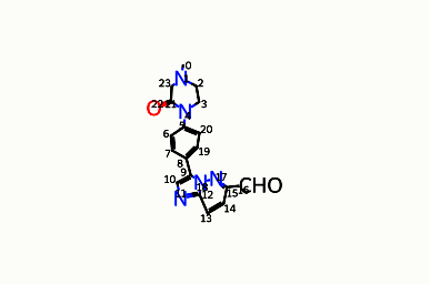 CN1CCN(c2ccc(-c3cnc4ccc(C=O)nn34)cc2)C(=O)C1